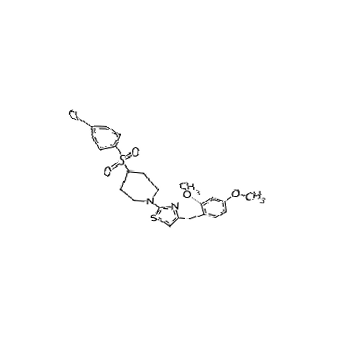 COc1ccc(Cc2csc(N3CCC(S(=O)(=O)c4ccc(Cl)cc4)CC3)n2)c(OC)c1